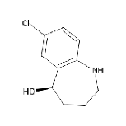 O[C@@H]1CCCNc2ccc(Cl)cc21